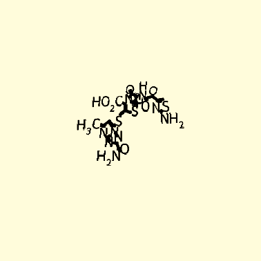 Cc1cc(SCC2=C(C(=O)O)N3C(=O)[C@@H](NC(=O)C(=O)c4csc(N)n4)[C@H]3SC2)n2nc(C(N)=O)nc2n1